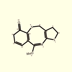 CO/C1=N/C2=C(CCS2)CSC2=C1C=CCC2=O